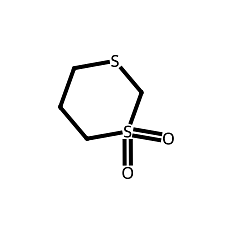 O=S1(=O)CCCSC1